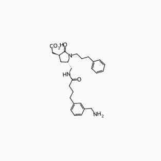 NCc1cccc(CCCC(=O)NC[C@@H]2C[C@@H](CC(=O)O)C(=O)N2CCCc2ccccc2)c1